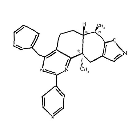 C[C@H]1c2oncc2C[C@@]2(C)c3nc(-c4ccncc4)nc(-c4ccccc4)c3CC[C@H]12